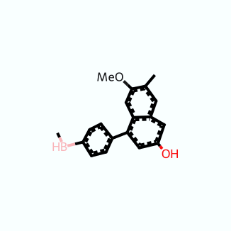 CBc1ccc(-c2cc(O)cc3cc(C)c(OC)cc23)cc1